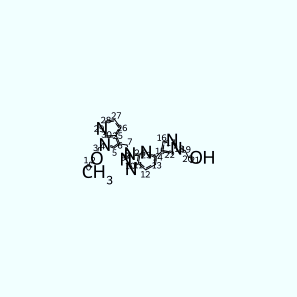 CCOCn1cc(Cn2nnc3ccc(-c4cnn(CCO)c4)nc32)c2cccnc21